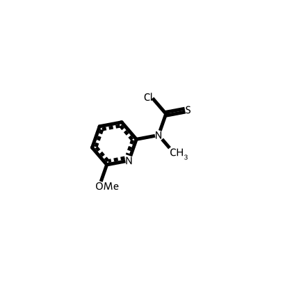 COc1cccc(N(C)C(=S)Cl)n1